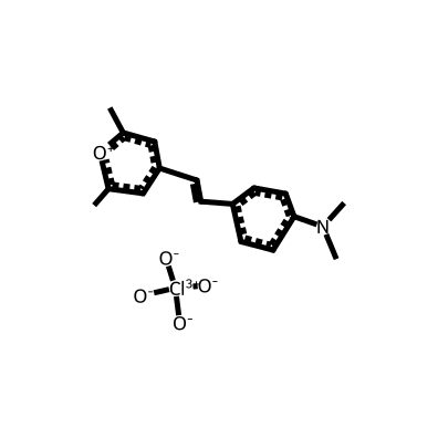 Cc1cc(/C=C/c2ccc(N(C)C)cc2)cc(C)[o+]1.[O-][Cl+3]([O-])([O-])[O-]